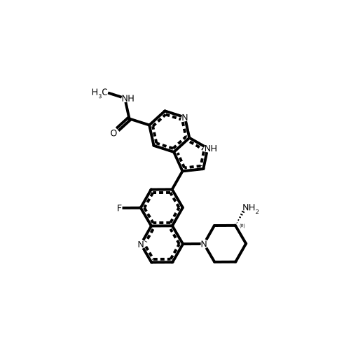 CNC(=O)c1cnc2[nH]cc(-c3cc(F)c4nccc(N5CCC[C@@H](N)C5)c4c3)c2c1